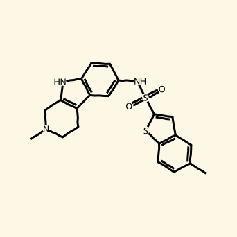 Cc1ccc2sc(S(=O)(=O)Nc3ccc4[nH]c5c(c4c3)CCN(C)C5)cc2c1